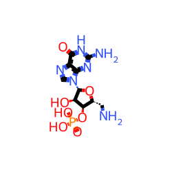 NC[C@H]1O[C@@H](n2cnc3c(=O)[nH]c(N)nc32)[C@H](O)[C@@H]1OP(=O)(O)O